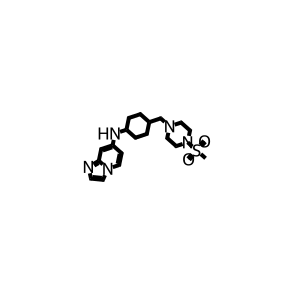 CS(=O)(=O)N1CCN(CC2CCC(Nc3ccn4ccnc4c3)CC2)CC1